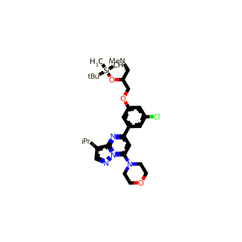 CNCC(COc1cc(Cl)cc(-c2cc(N3CCOCC3)n3ncc(C(C)C)c3n2)c1)O[Si](C)(C)C(C)(C)C